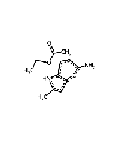 CCOC(C)=O.Cc1cc2cc(N)ccc2[nH]1